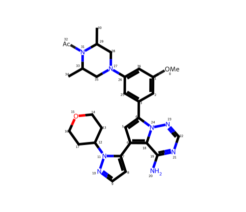 COc1cc(-c2cc(-c3ccnn3C3CCOCC3)c3c(N)ncnn23)cc(N2CC(C)N(C(C)=O)C(C)C2)c1